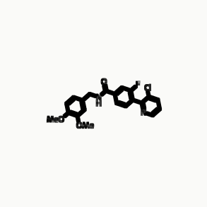 COc1ccc(CNC(=O)c2ccc(-c3ncccc3Cl)c(F)c2)cc1OC